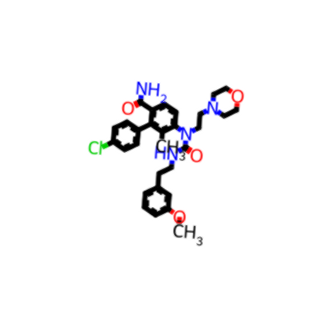 COc1cccc(CCNC(=O)N(CCN2CCOCC2)c2ccc(C(N)=O)c(-c3ccc(Cl)cc3)c2C)c1